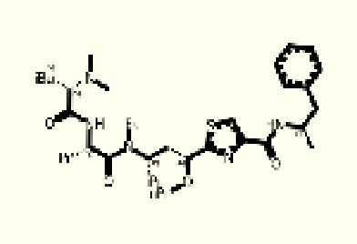 CCCO[C@H](C[C@H](C(C)C)N(CC)C(=O)[C@@H](NC(=O)[C@H]([C@@H](C)CC)N(C)C)C(C)C)c1nc(C(=O)N[C@H](C)Cc2ccccc2)cs1